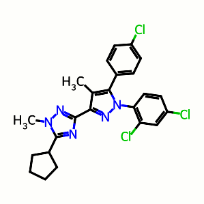 Cc1c(-c2nc(C3CCCC3)n(C)n2)nn(-c2ccc(Cl)cc2Cl)c1-c1ccc(Cl)cc1